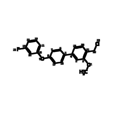 COc1cc(-c2ccc(Oc3cccc(F)c3)cc2)ccc1CCl